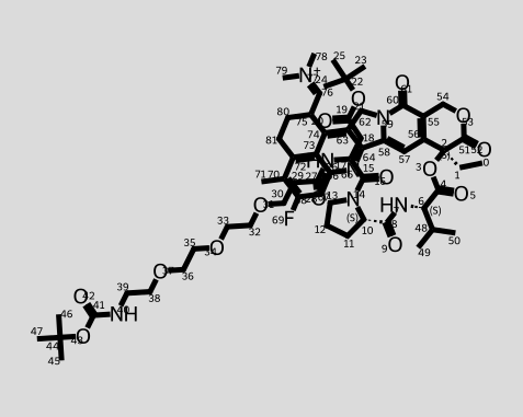 CC[C@@]1(OC(=O)[C@@H](NC(=O)[C@@H]2CCCN2C(=O)C(CC(=O)OC(C)(C)C)NC(=O)CCOCCOCCOCCNC(=O)OC(C)(C)C)C(C)C)C(=O)OCc2c1cc1n(c2=O)Cc2c-1nc1cc(F)c(C)c3c1c2C(C=[N+](C)C)CC3